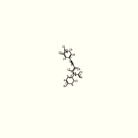 C=C(C)N(C1=CC=C(C)CC1)/C(C)=C(\C)C#CC1=CCN(C)C(C)=C1